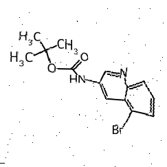 CC(C)(C)OC(=O)Nc1cnc2cccc(Br)c2c1